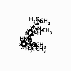 CCNC(=O)N(CCN(C)C)Cc1ccc(C(=O)Nc2ccccc2NC(=O)OC(C)(C)C)nc1